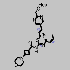 C=C=C(/C=C\C)/N=C(/NC(=O)C1CC(N2CCOCC2)C1)SC/C=C/c1cnc(COCCCCCC)nc1